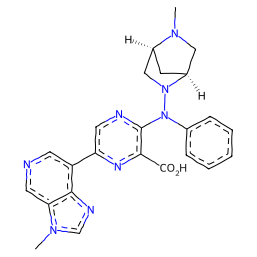 CN1C[C@@H]2C[C@H]1CN2N(c1ccccc1)c1ncc(-c2cncc3c2ncn3C)nc1C(=O)O